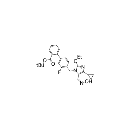 CCOc1nc(C2CC2)c(/C=N\O)n1Cc1ccc(-c2ccccc2C(=O)OC(C)(C)C)cc1F